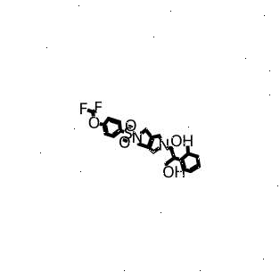 CC1CC=CC=C1C(CO)C(O)N1CC2=C(C1)CN(S(=O)(=O)c1ccc(OC(F)F)cc1)C2